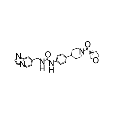 O=C(NCc1ccn2ccnc2c1)Nc1ccc(C2CCN(C(=O)[C@@H]3CCOC3)CC2)cc1